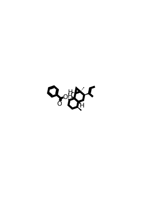 C/C=C(\C)[C@H]1C[C@H]2[C@H]([C@@H](OC(=O)c3ccccc3)CC[C@@H]2C)[C@H]2C[C@@]12C